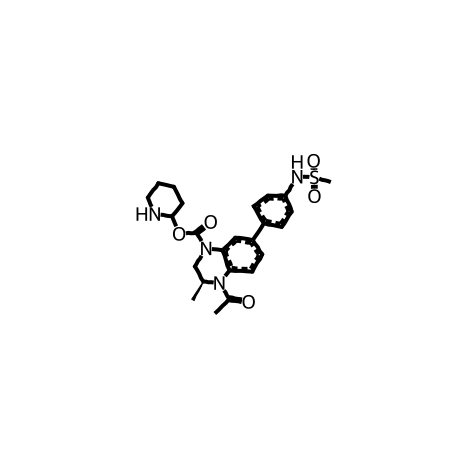 CC(=O)N1c2ccc(-c3ccc(NS(C)(=O)=O)cc3)cc2N(C(=O)OC2CCCCN2)C[C@@H]1C